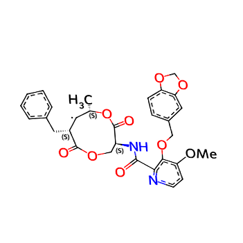 COc1ccnc(C(=O)N[C@H]2COC(=O)[C@H](Cc3ccccc3)[CH][C@H](C)OC2=O)c1OCc1ccc2c(c1)OCO2